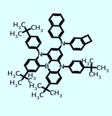 CC(C)(C)c1ccc(N2c3ccc(C(C)(C)C)cc3B3c4cc(C(C)(C)C)ccc4N(c4ccc(C(C)(C)C)cc4)c4cc(N(c5ccc6c(c5)CC6)c5ccc6ccccc6c5)cc2c43)cc1